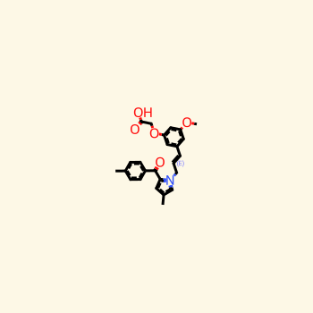 COc1cc(/C=C/Cn2cc(C)cc2C(=O)c2ccc(C)cc2)cc(OCC(=O)O)c1